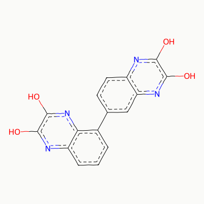 Oc1nc2ccc(-c3cccc4nc(O)c(O)nc34)cc2nc1O